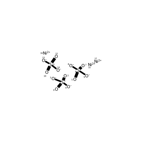 O=S(=O)([O-])[O-].O=S(=O)([O-])[O-].O=S(=O)([O-])[O-].[Ni+2].[Ni+2].[Ni+2]